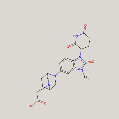 Cn1c(=O)n(C2CCC(=O)NC2=O)c2ccc(N3CC4CCC3CN4CC(=O)O)cc21